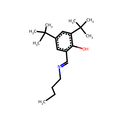 [CH2]CCCN=Cc1cc(C(C)(C)C)cc(C(C)(C)C)c1O